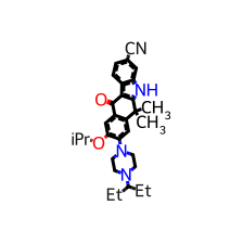 CCC(CC)N1CCN(c2cc3c(cc2OC(C)C)C(=O)c2c([nH]c4cc(C#N)ccc24)C3(C)C)CC1